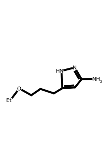 CCOCCCc1cc(N)n[nH]1